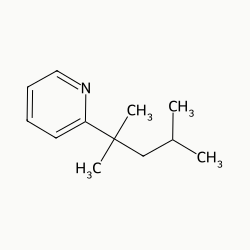 CC(C)CC(C)(C)c1ccccn1